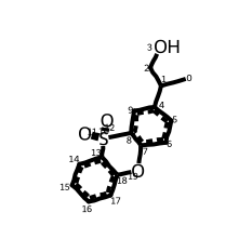 CC(CO)c1ccc2c(c1)S(=O)(=O)c1ccccc1O2